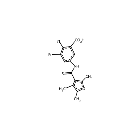 Cc1oc(C)c(C(=S)Nc2cc(C(=O)O)c(Cl)c(C(C)C)c2)c1C